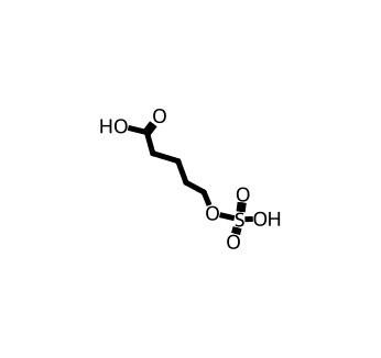 O=C(O)CCCCOS(=O)(=O)O